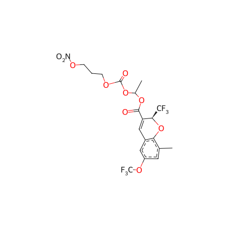 Cc1cc(OC(F)(F)F)cc2c1O[C@H](C(F)(F)F)C(C(=O)OC(C)OC(=O)OCCCO[N+](=O)[O-])=C2